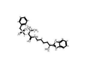 CN(C)[C@@H](CS(=O)(=O)Cc1ccccc1)C(=O)NCCCC[C@H](O)c1nc2ccccc2o1